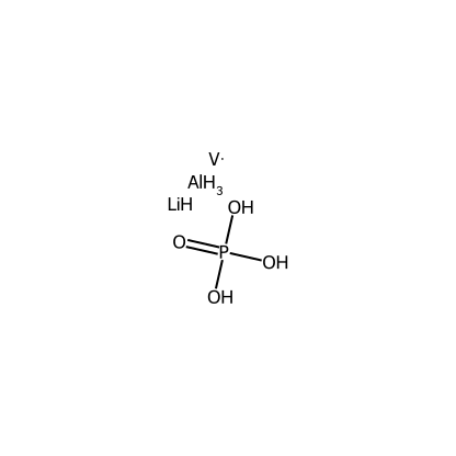 O=P(O)(O)O.[AlH3].[LiH].[V]